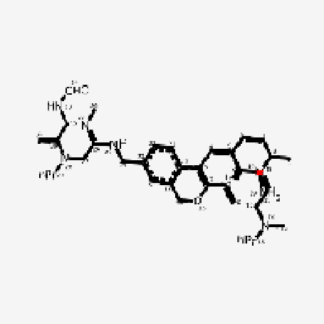 C=CC1=C(/C=C(/C=C\C(C)/N=C/CN(C)CCC)C(=C)CN)c2ccc(CN/C(CN(CCC)C(=C)CNC=O)=N\C)cc2CO1